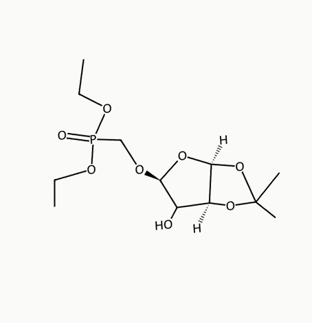 CCOP(=O)(CO[C@H]1O[C@H]2OC(C)(C)O[C@H]2C1O)OCC